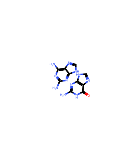 Nc1nc(N)c2nc[nH]c2n1.Nc1nc2[nH]cnc2c(=O)[nH]1